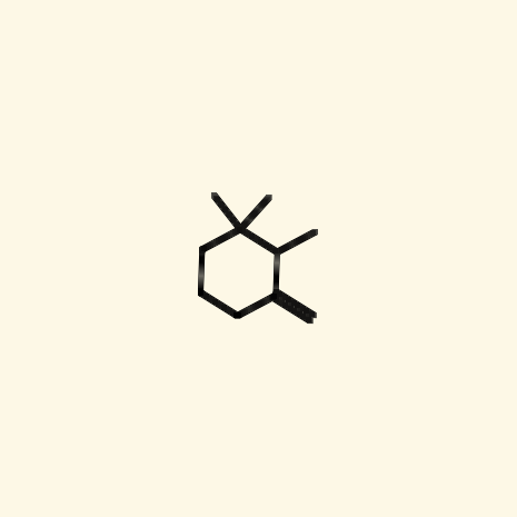 C=C1CCCC(C)(C)C1C